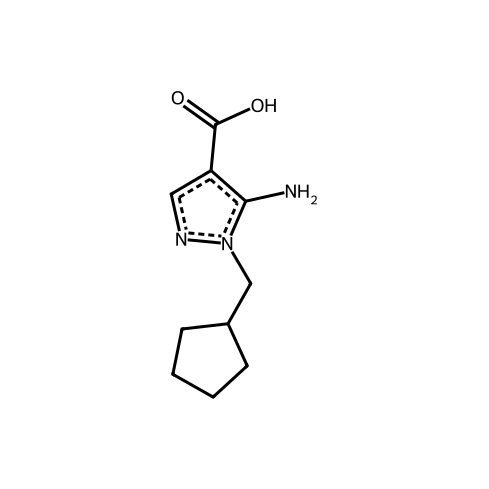 Nc1c(C(=O)O)cnn1CC1CCCC1